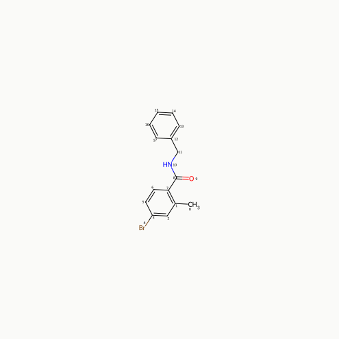 Cc1cc(Br)ccc1C(=O)NCc1ccccc1